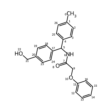 Cc1ccc(C(NC(=O)COc2ccccc2)c2ccc(CO)cc2)cc1